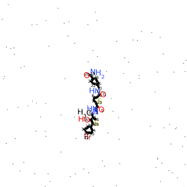 C/C(=N\NC(=O)c1ccc(C(=O)NCc2ccc(C(N)=O)cc2)s1)c1csc(-c2ccc(Br)cc2)c1O